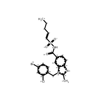 CCC/C=C/S(=O)(=O)NC(=O)c1ccc2nc(C)n(Cc3ccc(Br)cc3Cl)c2c1